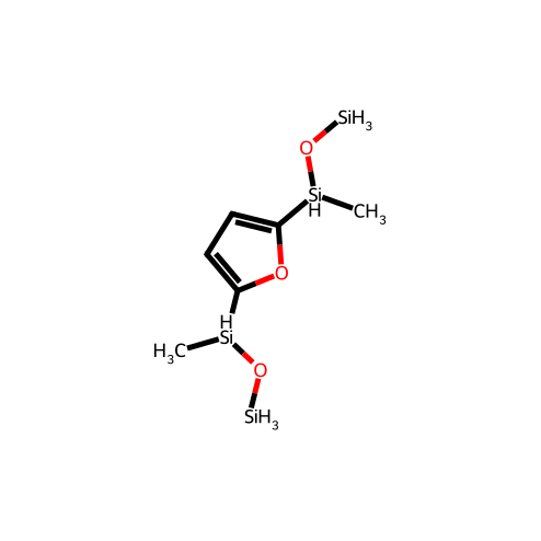 C[SiH](O[SiH3])c1ccc([SiH](C)O[SiH3])o1